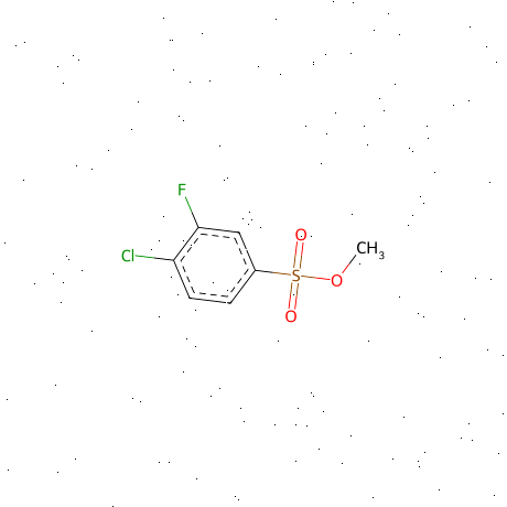 COS(=O)(=O)c1ccc(Cl)c(F)c1